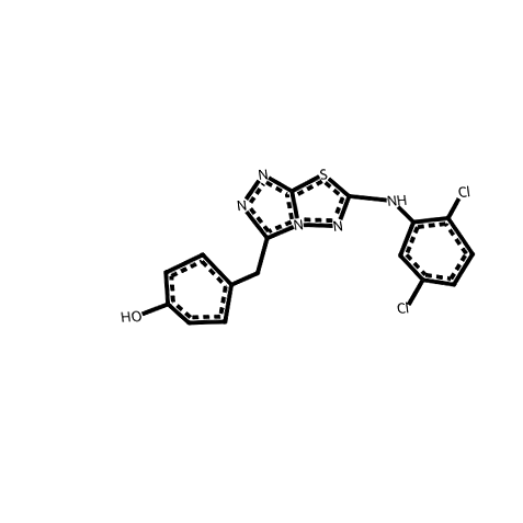 Oc1ccc(Cc2nnc3sc(Nc4cc(Cl)ccc4Cl)nn23)cc1